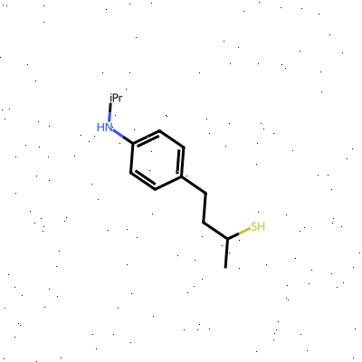 CC(S)CCc1ccc(NC(C)C)cc1